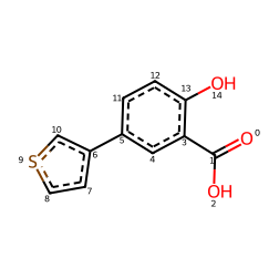 O=C(O)c1cc(-c2ccsc2)ccc1O